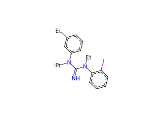 CCc1cccc(N(C(=N)N(CC)c2ccccc2I)C(C)C)c1